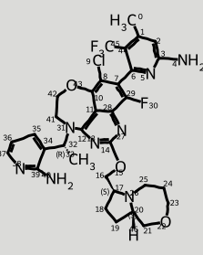 Cc1cc(N)nc(-c2c(Cl)c3c4c(nc(OC[C@@H]5CC[C@H]6COCCCN65)nc4c2F)N([C@H](C)c2cccnc2N)CCO3)c1C(F)(F)F